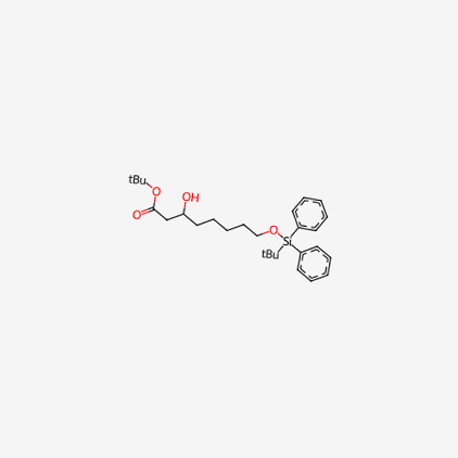 CC(C)(C)OC(=O)CC(O)CCCCCO[Si](c1ccccc1)(c1ccccc1)C(C)(C)C